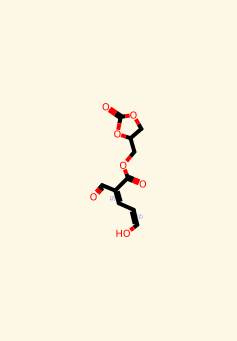 O=C/C(=C/C=C\O)C(=O)OCC1COC(=O)O1